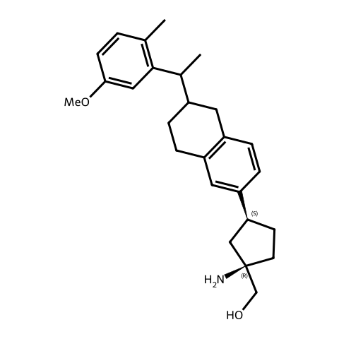 COc1ccc(C)c(C(C)C2CCc3cc([C@H]4CC[C@](N)(CO)C4)ccc3C2)c1